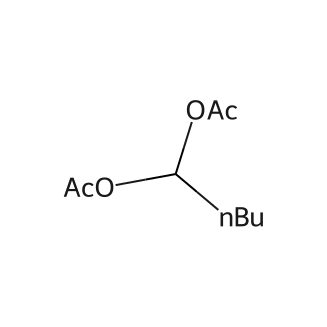 CCCCC(OC(C)=O)OC(C)=O